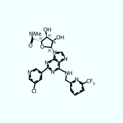 CNC(=O)[C@H]1O[C@@H](n2cnc3c(NCc4cccc(C(F)(F)F)n4)nc(-c4cncc(Cl)c4)nc32)[C@H](O)[C@@H]1O